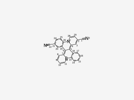 N#CC1=CC2=C3C(=C4C=CC=CB4c4ccccc43)c3cc(C#N)ccc3N2C=C1